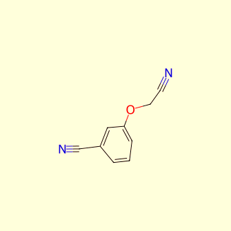 N#CCOc1cccc(C#N)c1